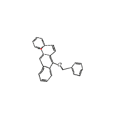 CC(C)c1cc2ccccc2c(OCc2ccccc2)c1/C=C\c1ccccc1